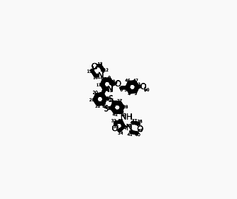 COc1ccc(COc2cc(N3CCOCC3)cc(-c3cccc4c3Sc3ccc(N[C@@H]5COC[C@@H]5N5CCOCC5)cc3S4)n2)cc1